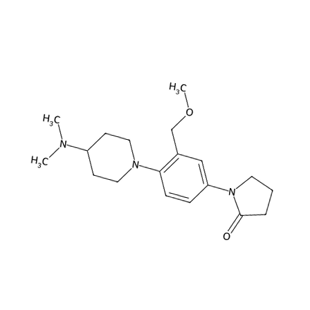 COCc1cc(N2CCCC2=O)ccc1N1CCC(N(C)C)CC1